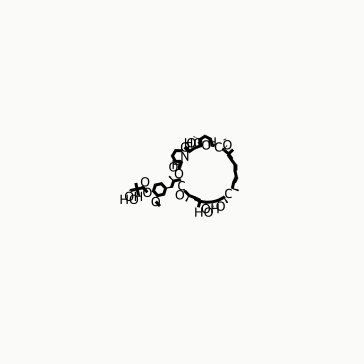 CO[C@H]1C[C@@H]2CC[C@@H](C)[C@@](O)(O2)C(=O)C(=O)N2CCCC[C@H]2C(=O)O[C@H]([C@H](C)C[C@@H]2CC[C@@H](OC(=O)C(C)(CO)CO)[C@H](OC)C2)CC(=O)[C@H](C)/C=C(\C)[C@@H](O)[C@@H](CO)C(=O)[C@H](C)C[C@H](C)/C=C/C=C/C=C/1C